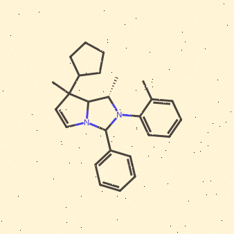 Cc1ccccc1N1C(c2ccccc2)N2C=CC(C)(C3CCCC3)C2[C@@H]1C